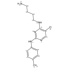 Cc1ccc(Nc2ncc(Cl)c(NCCCCN)n2)cc1